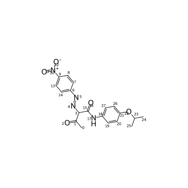 CC(=O)C(N=Nc1ccc([N+](=O)[O-])cc1)C(=O)Nc1ccc(OC(C)C)cc1